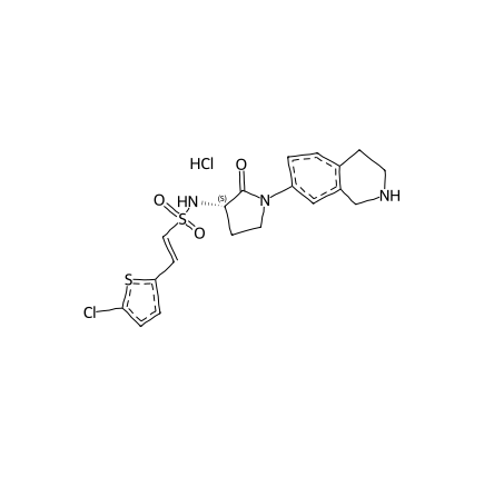 Cl.O=C1[C@@H](NS(=O)(=O)C=Cc2ccc(Cl)s2)CCN1c1ccc2c(c1)CNCC2